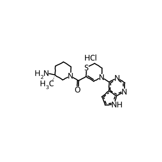 C[C@]1(N)CCCN(C(=O)C2=CN(c3ncnc4[nH]ccc34)CCS2)C1.Cl